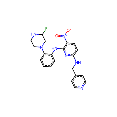 O=[N+]([O-])c1ccc(NCc2ccncc2)nc1Nc1ccccc1N1CCNC(F)C1